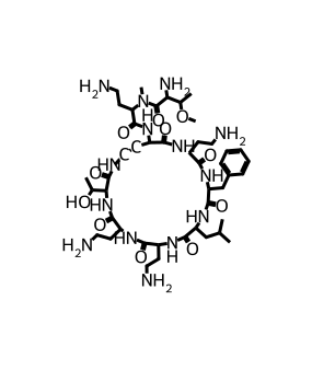 COC(C)C(N)C(=O)N(C)C(CCN)C(=O)NC1CCNC(=O)C(C(C)O)NC(=O)C(CCN)NC(=O)C(CCN)NC(=O)C(CC(C)C)NC(=O)C(Cc2ccccc2)NC(=O)C(CCN)NC1=O